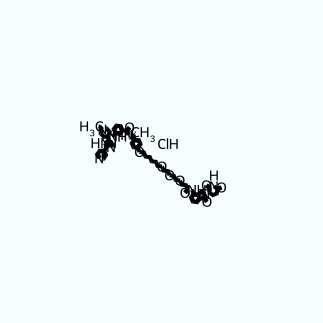 C[C@@H](NC(=O)c1cccc(NC2(c3nnc(-c4ccncc4)[nH]3)CCN(C)CC2)c1)c1ccc(OCCCCCCOCCOCCOCCC(=O)Nc2cccc3c2CN(C2CCC(=O)NC2=O)C3=O)cc1.Cl